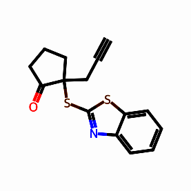 C#CCC1(Sc2nc3ccccc3s2)CCCC1=O